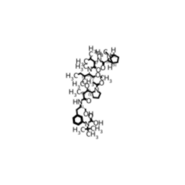 CC[C@H](C)[C@@H]([C@@H](CC(=O)N1CCC[C@H]1[C@H](OC)[C@@H](C)C(=O)N[C@H](CO)Cc1cccc(N(C(=O)O)C(C)(C)C)c1)OC)N(C)C(=O)[C@@H](NC(=O)[C@@H]1[C@H]2CC[C@H](C2)N1C)C(C)C